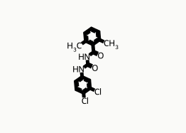 Cc1cccc(C)c1C(=O)NC(=O)Nc1ccc(Cl)c(Cl)c1